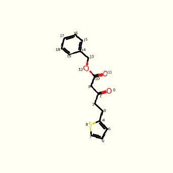 O=C(CCc1cccs1)CC(=O)OCc1ccccc1